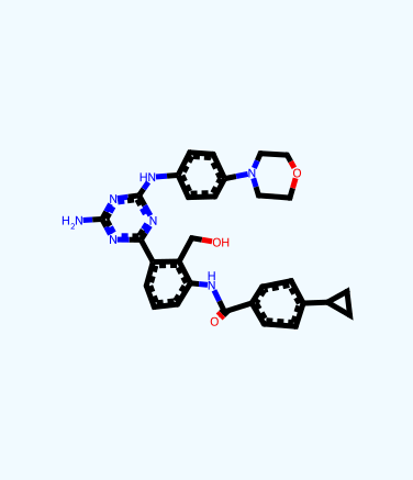 Nc1nc(Nc2ccc(N3CCOCC3)cc2)nc(-c2cccc(NC(=O)c3ccc(C4CC4)cc3)c2CO)n1